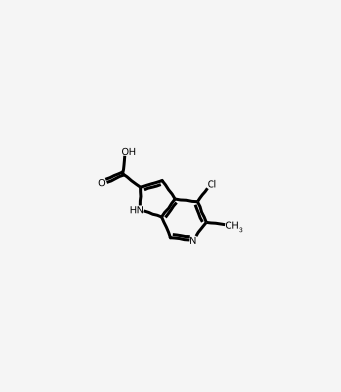 Cc1ncc2[nH]c(C(=O)O)cc2c1Cl